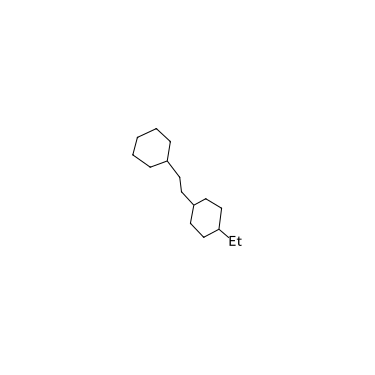 CCC1CCC(CCC2CCCCC2)CC1